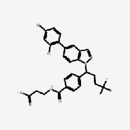 O=C(O)CCNC(=O)c1ccc(C(CCC(F)(F)F)n2ncc3cc(-c4ccc(Cl)cc4Cl)ccc32)cc1